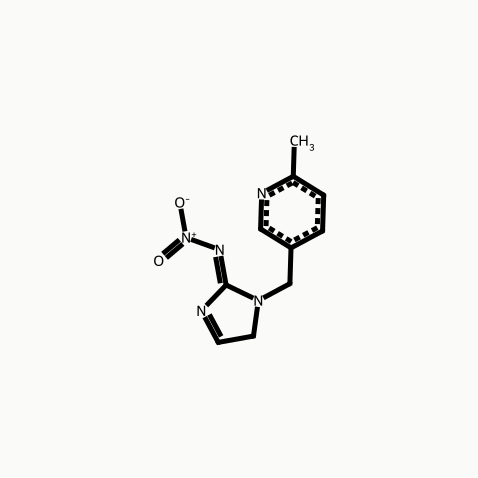 Cc1ccc(CN2CC=NC2=N[N+](=O)[O-])cn1